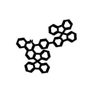 c1ccc2c(c1)-c1ccccc1C21c2ccccc2-c2ccc(-c3ccc(-c4nc5ccccc5c5ccc6c(c45)-c4ccccc4C64c5ccccc5-c5ccccc54)cc3)cc21